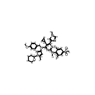 COc1ccc(CN(c2cc(C)n(C3CCCCO3)n2)c2nc(N(C)c3c(F)cc(S(C)(=O)=O)cc3F)nc(-c3cn(C)cn3)c2C2CC2)cc1